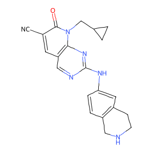 N#Cc1cc2cnc(Nc3ccc4c(c3)CCNC4)nc2n(CC2CC2)c1=O